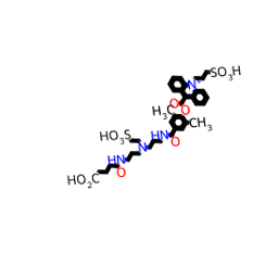 Cc1cc(C(=O)NCCCN(CCCNC(=O)CCCC(=O)O)CCS(=O)(=O)O)cc(C)c1OC(=O)c1c2ccccc2[n+](CCCS(=O)(=O)O)c2ccccc12